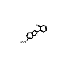 COc1ccc2cc(C3=CC=CCC3=O)oc2c1